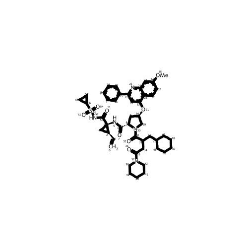 C=C[C@H]1C[C@]1(NC(=O)[C@@H]1C[C@@H](Oc2cc(-c3ccccc3)nc3cc(OC)ccc23)CN1C(=O)C(CC(=O)N1CCCCC1)CC1CCCCC1)C(=O)NS(=O)(=O)C1CC1